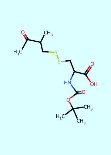 CC(=O)C(C)CSSCC(NC(=O)OC(C)(C)C)C(=O)O